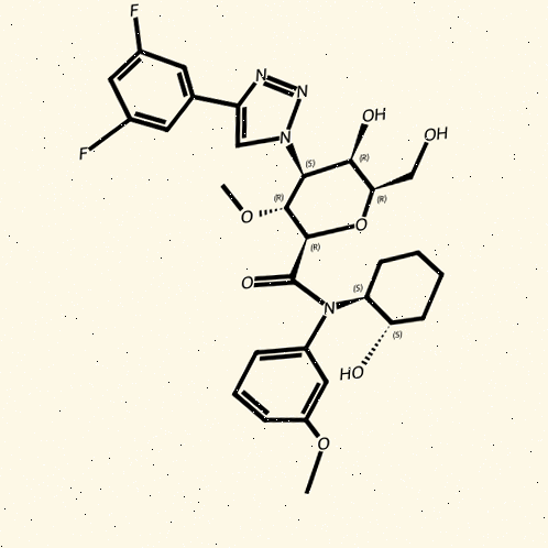 COc1cccc(N(C(=O)[C@@H]2O[C@H](CO)[C@H](O)[C@H](n3cc(-c4cc(F)cc(F)c4)nn3)[C@H]2OC)[C@H]2CCCC[C@@H]2O)c1